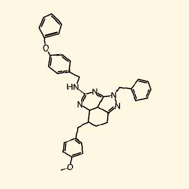 COc1ccc(CC2CCC3=NN(Cc4ccccc4)C4=NC(NCc5ccc(Oc6ccccc6)cc5)=NC2C34)cc1